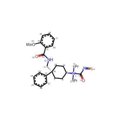 CCC[N+](CCC)(C(=O)N=S)[C@H]1CC[C@@](CNC(=O)c2ccccc2OC)(c2ccccc2)CC1